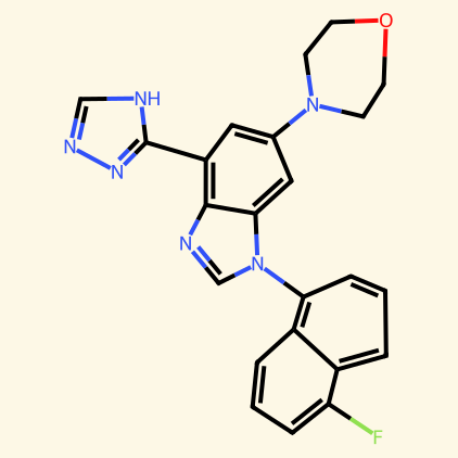 Fc1cccc2c(-n3cnc4c(-c5nnc[nH]5)cc(N5CCOCC5)cc43)cccc12